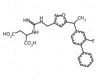 CC(c1ccc(-c2ccccc2)c(F)c1)c1cc(CNC(=N)NC(CC(=O)O)C(=O)O)no1